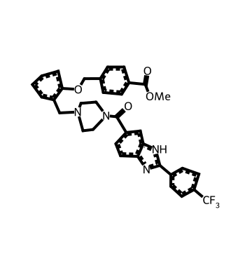 COC(=O)c1ccc(COc2ccccc2CN2CCN(C(=O)c3ccc4nc(-c5ccc(C(F)(F)F)cc5)[nH]c4c3)CC2)cc1